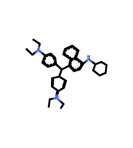 CCN(CC)c1ccc(C(c2ccc(NC3CCCCC3)c3ccccc23)C2C=CC(=[N+](CC)CC)C=C2)cc1